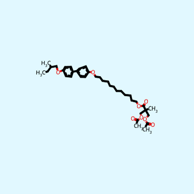 CCC(C)COc1ccc(-c2ccc(OCCCCCCCCCCCCOC(=O)C(C)(COC(C)=O)COC(C)=O)cc2)cc1